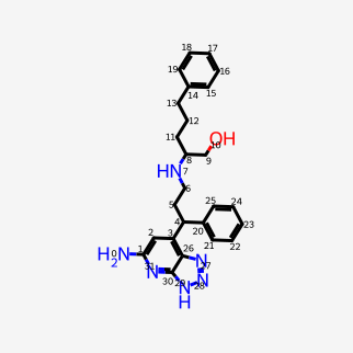 Nc1cc(C(CCNC(CO)CCCc2ccccc2)c2ccccc2)c2nn[nH]c2n1